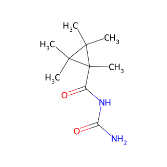 CC1(C)C(C)(C)C1(C)C(=O)NC(N)=O